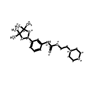 CC1(C)OB(c2cccc(NC(=O)OCCN3CCOCC3)c2)OC1(C)C